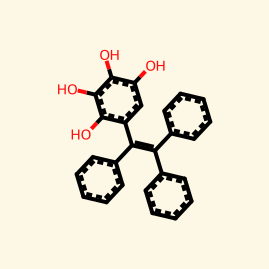 Oc1cc(C(=C(c2ccccc2)c2ccccc2)c2ccccc2)c(O)c(O)c1O